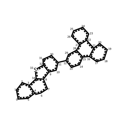 c1ccc2c(c1)ccc1c3cc(-c4ccc5c6ccccc6c6ccccc6c5c4)ccc3sc21